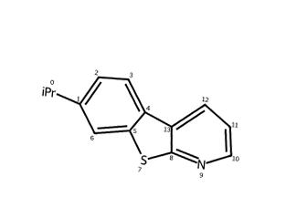 CC(C)c1ccc2c(c1)sc1ncccc12